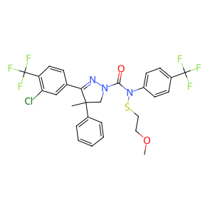 COCCSN(C(=O)N1CC(C)(c2ccccc2)C(c2ccc(C(F)(F)F)c(Cl)c2)=N1)c1ccc(C(F)(F)F)cc1